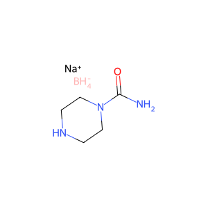 NC(=O)N1CCNCC1.[BH4-].[Na+]